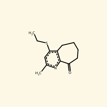 CCSc1cc(C)nc2c1CCCCC2=O